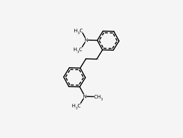 CN(C)c1cccc(C[CH]c2ccccc2N(C)C)c1